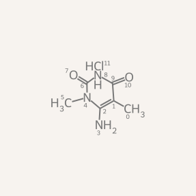 Cc1c(N)n(C)c(=O)[nH]c1=O.Cl